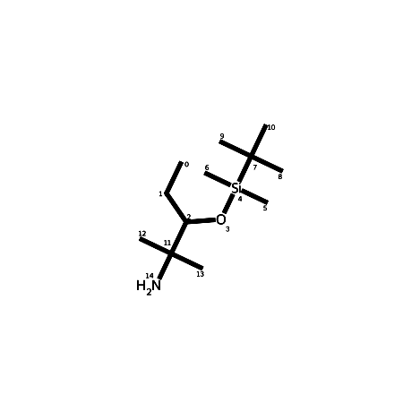 CCC(O[Si](C)(C)C(C)(C)C)C(C)(C)N